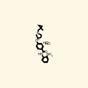 CC1(CN2CC[C@@H](Oc3ccc(C(=O)Nc4ccccc4N)cc3)C2)CC1.Cl.Cl